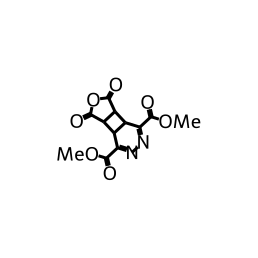 COC(=O)C1=NN=C(C(=O)OC)C2C3C(=O)OC(=O)C3C12